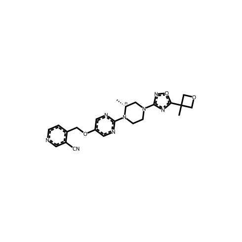 C[C@@H]1CN(c2noc(C3(C)COC3)n2)CCN1c1ncc(OCc2ccncc2C#N)cn1